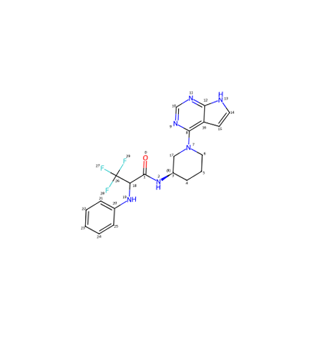 O=C(N[C@@H]1CCCN(c2ncnc3[nH]ccc23)C1)C(Nc1ccccc1)C(F)(F)F